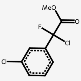 COC(=O)C(F)(Cl)c1cccc(Cl)c1